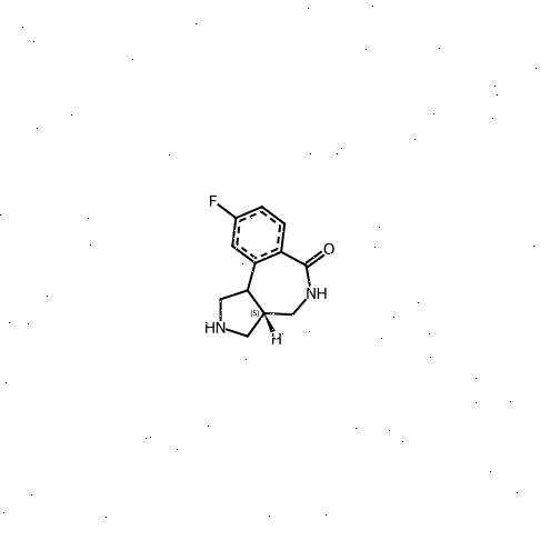 O=C1NC[C@@H]2CNCC2c2cc(F)ccc21